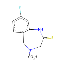 O=C(O)N1CC(=S)Nc2cc(F)ccc2C1